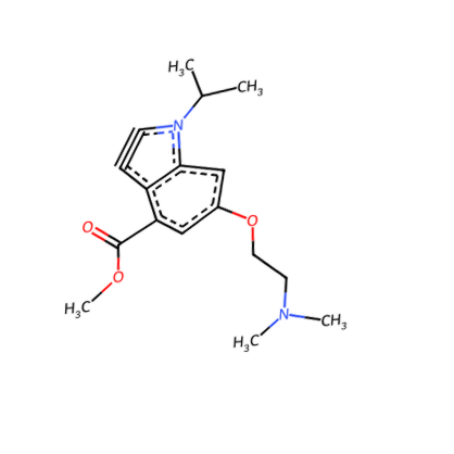 COC(=O)c1cc(OCCN(C)C)cc2c1c#cn2C(C)C